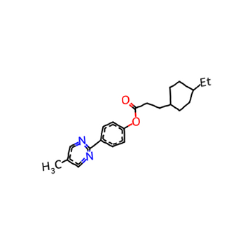 CCC1CCC(CCC(=O)Oc2ccc(-c3ncc(C)cn3)cc2)CC1